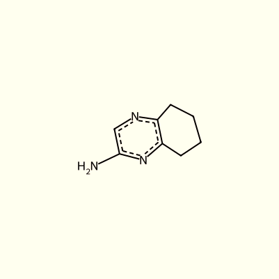 Nc1cnc2c(n1)CCCC2